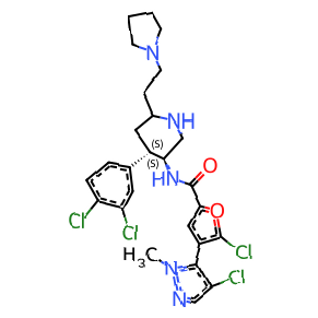 Cn1ncc(Cl)c1-c1cc(C(=O)N[C@@H]2CNC(CCN3CCCC3)C[C@H]2c2ccc(Cl)c(Cl)c2)oc1Cl